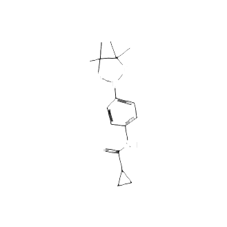 CC1(C)OB(c2ccc(NC(=O)C3CC3)cc2)OC1(C)C